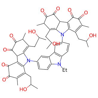 CCn1c2ccc(N3C4=C(C(=O)C(=O)C(C)=C4CC(C)O)C4C(=O)C(=O)C(C)C(CC(C)O)=C43)cc2c2cc(N3C4=C(C(=O)C(=O)C(C)=C4CC(C)O)C4C(=O)C(=O)C(C)C(CC(C)O)=C43)ccc21